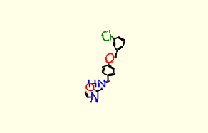 Clc1cccc(COc2ccc(CNCc3ncco3)cc2)c1